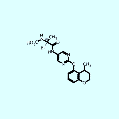 CC[C@@](C)(NC(=O)O)C(=O)Nc1cnc(Oc2cccc3c2C(C)CCO3)nc1